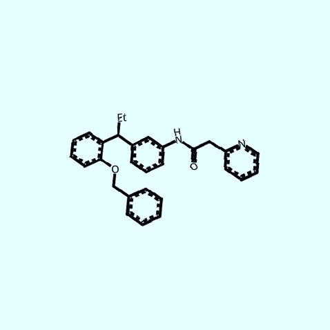 CCC(c1cccc(NC(=O)Cc2ccccn2)c1)c1ccccc1OCc1ccccc1